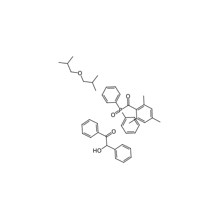 CC(C)COCC(C)C.Cc1cc(C)c(C(=O)P(=O)(c2ccccc2)c2ccccc2)c(C)c1.O=C(c1ccccc1)C(O)c1ccccc1